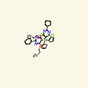 CC(C)CCOc1nc(-c2ccccc2)nc(Cl)[c]1[Ti]([C]1=CC=CC1)([C]1=CC=CC1)[c]1c(Cl)nc(-c2ccccc2)nc1OCCC(C)C